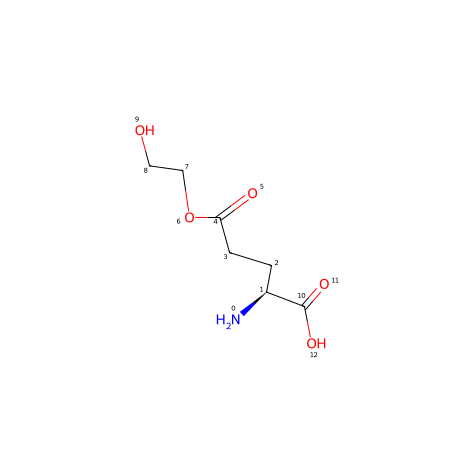 N[C@@H](CCC(=O)OCCO)C(=O)O